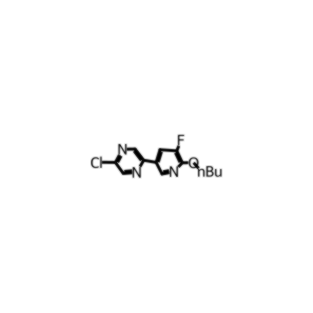 CCCCOc1ncc(-c2cnc(Cl)cn2)cc1F